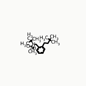 CC(C)(C)CCc1ccccc1CN(C(C)(C)C)S(C)(=O)=O